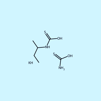 CCC(C)NC(O)=S.NC(O)=S.[KH]